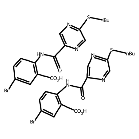 CCC(C)Sc1cnc(C(=O)Nc2ccc(Br)cc2C(=O)O)cn1.CCCCSc1cnc(C(=O)Nc2ccc(Br)cc2C(=O)O)cn1